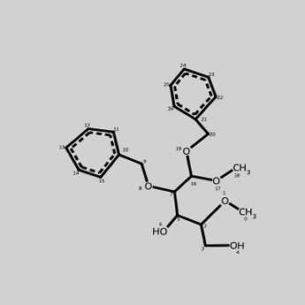 COC(CO)C(O)C(OCc1ccccc1)C(OC)OCc1ccccc1